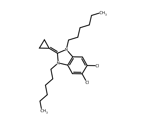 CCCCCCN1C(=C2CC2)N(CCCCCC)c2cc(Cl)c(Cl)cc21